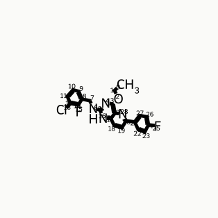 CCOc1nc(NCc2cccc(Cl)c2F)nc2ccc(-c3ccc(F)cc3)nc12